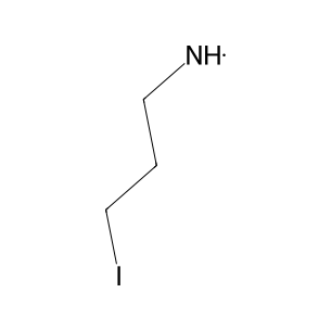 [NH]CCCI